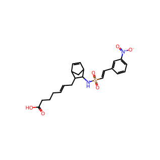 O=C(O)CCCC=CCC1C2C=CC(C2)C1NS(=O)(=O)C=Cc1cccc([N+](=O)[O-])c1